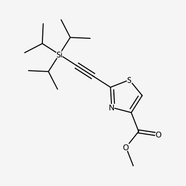 COC(=O)c1csc(C#C[Si](C(C)C)(C(C)C)C(C)C)n1